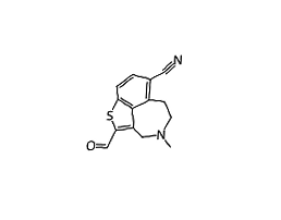 CN1CCc2c(C#N)ccc3sc(C=O)c(c23)C1